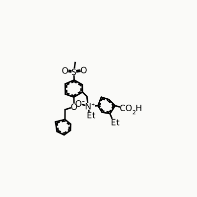 CCc1cc([N+]([O-])(CC)Cc2cc(S(C)(=O)=O)ccc2OCc2ccccc2)ccc1C(=O)O